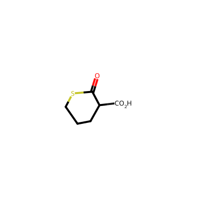 O=C(O)C1CCCSC1=O